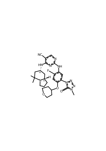 Cn1nnn(-c2cc(Nc3ncc(C#N)c(N[C@@H]4C[C@@H]5CCCN5C(C)(C)C4)n3)c(F)cc2OC2CCOCC2)c1=O